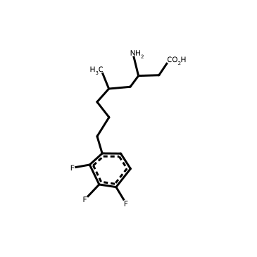 CC(CCCc1ccc(F)c(F)c1F)CC(N)CC(=O)O